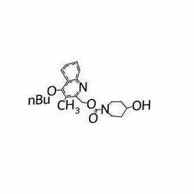 CCCCOc1c(C)c(COC(=O)N2CCC(O)CC2)nc2ccccc12